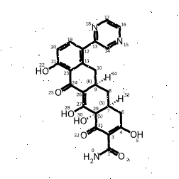 NC(=O)C1=C(O)C[C@@H]2C[C@@H]3Cc4c(-c5cnccn5)ccc(O)c4C(=O)C3=C(O)[C@]2(O)C1=O